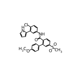 COc1ccc(-c2cc(S(C)(=O)=O)ccc2C(=O)Nc2ccc(Cl)c(-c3ccc[nH]3)c2)cc1